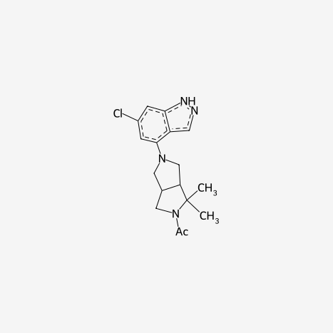 CC(=O)N1CC2CN(c3cc(Cl)cc4[nH]ncc34)CC2C1(C)C